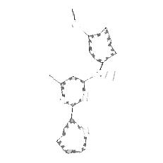 COc1cccc(Nc2cc(C)nc(-c3ccccn3)n2)c1